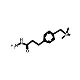 C[N+](C)(C)Cc1ccc(CCC(=O)NN)cc1